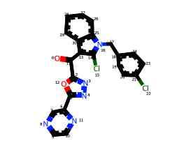 O=C(c1nnc(-c2cnccn2)o1)c1c(Cl)n(Cc2ccc(Cl)cc2)c2ccccc12